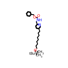 CC(C)(C)[Si](C)(C)OCCCCCCCCCc1ccc(CNC(=O)OCc2ccccc2)nc1